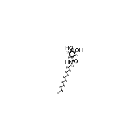 CCCCCCCCCCCCNC(=O)c1ccc(O)c(O)c1